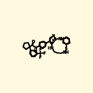 O=C(Nc1ccc(-c2cnc3nc2NCCCNSc2cccc(c2)N3)cc1)C1(c2cccc(C(F)(F)F)c2)CCCC1